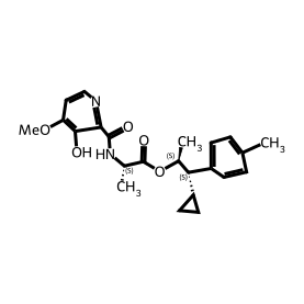 COc1ccnc(C(=O)N[C@@H](C)C(=O)O[C@@H](C)[C@H](c2ccc(C)cc2)C2CC2)c1O